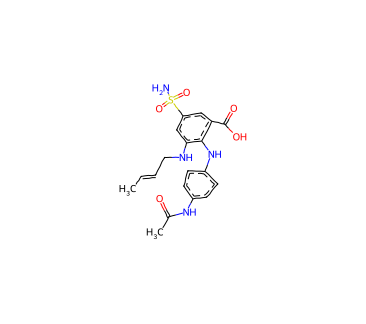 CC=CCNc1cc(S(N)(=O)=O)cc(C(=O)O)c1Nc1ccc(NC(C)=O)cc1